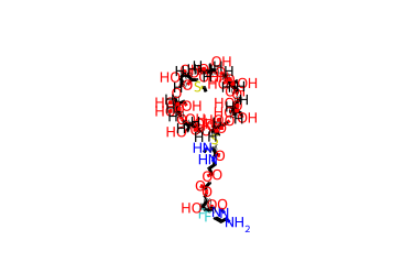 CCSCC1O[C@@H]2O[C@@H]3C(CO)O[C@@H](O[C@@H]4C(CO)O[C@@H](O[C@@H]5C(CSC[C@@H](NC)C(=O)NCCC(=O)OCC(=O)OC[C@H]6O[C@@H](n7ccc(N)nc7=O)C(F)(F)[C@@H]6O)OC(O[C@@H]6C(CO)O[C@H](O[C@@H]7C(CO)O[C@H](O[C@@H]8C(CO)O[C@H](O[C@H]1[C@H](O)C2O)C(O)[C@H]8O)C(O)[C@H]7O)C(O)[C@H]6O)C(O)[C@H]5O)C(O)[C@H]4O)C(O)[C@H]3O